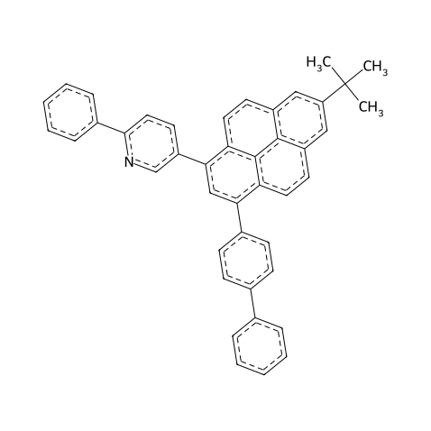 CC(C)(C)c1cc2ccc3c(-c4ccc(-c5ccccc5)cc4)cc(-c4ccc(-c5ccccc5)nc4)c4ccc(c1)c2c34